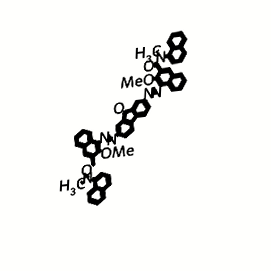 COc1c(CON(C)c2cccc3ccccc23)cc2ccccc2c1N=Nc1ccc2c(c1)C(=O)c1cc(N=Nc3c(OC)c(C(=O)N(C)c4cccc5ccccc45)cc4ccccc34)ccc1-2